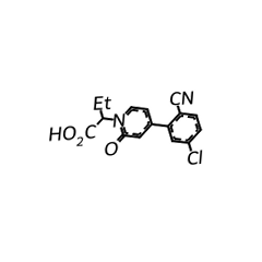 CCC(C(=O)O)n1ccc(-c2cc(Cl)ccc2C#N)cc1=O